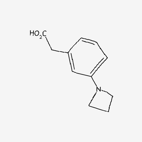 O=C(O)Cc1cccc(N2CCC2)c1